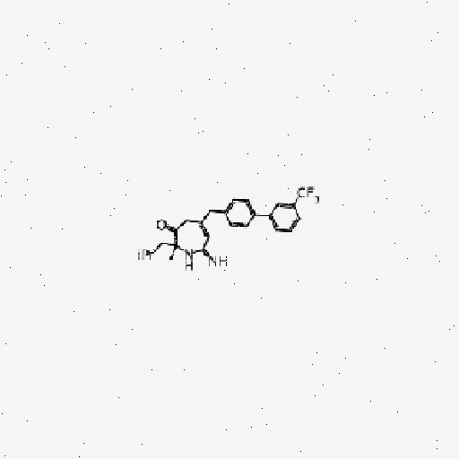 CC(C)CC1(C)NC(=N)C=C(Cc2ccc(-c3cccc(C(F)(F)F)c3)cc2)CC1=O